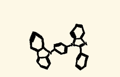 c1ccc(-c2nc3ccccc3n2-c2ccc(-n3c4ccccc4c4ccccc43)cc2)cc1